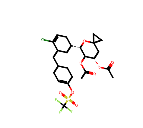 CC(=O)OC1[C@H](C2CC=C(Cl)C(CC3CC=C(OS(=O)(=O)C(F)(F)F)CC3)C2)OC2(CC2)C[C@@H]1OC(C)=O